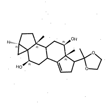 CC1(C2CC=C3C4C[C@@H](O)C56C[C@H]5CC[C@]6(C)C4C[C@@H](O)[C@@]32C)OCCO1